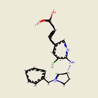 O=C(O)/C=C/c1cnc(N[C@@H]2CCN(Cc3ccccc3)C2)c(Cl)c1